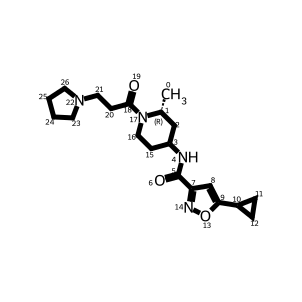 C[C@@H]1CC(NC(=O)c2cc(C3CC3)on2)CCN1C(=O)CCN1CCCC1